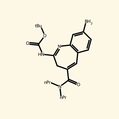 Bc1ccc2c(c1)N=C(NC(=O)OC(C)(C)C)CC(C(=O)N(CCC)CCC)=C2